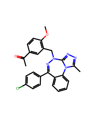 COc1ccc(C(C)=O)cc1CN1N=C(c2ccc(Cl)cc2)c2ccccc2-n2c(C)nnc21